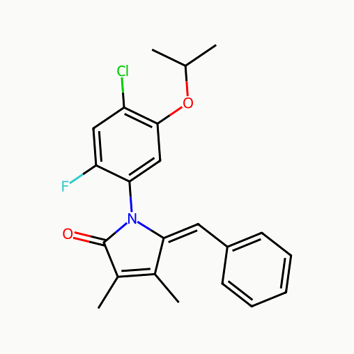 CC1=C(C)C(=Cc2ccccc2)N(c2cc(OC(C)C)c(Cl)cc2F)C1=O